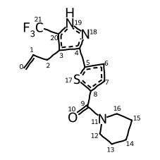 C=CCc1c(-c2ccc(C(=O)N3CCCCC3)s2)n[nH]c1C(F)(F)F